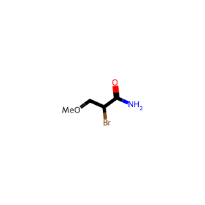 COCC(Br)C(N)=O